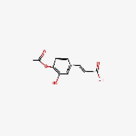 CC(=O)Oc1ccc(/C=C/C(=O)O)cc1O